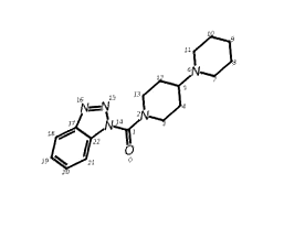 O=C(N1CCC(N2CCCCC2)CC1)n1nnc2ccccc21